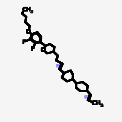 C/C=C/C1CCC(C2CCC(/C=C/CCC3CCC(c4ccc(OCCCCC)c(F)c4F)OC3)CC2)CC1